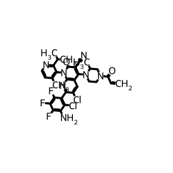 C=CC(=O)N1CCN(c2c(C#N)c(=O)n(-c3c(C)ccnc3C(C)C)c3nc(-c4c(F)c(F)c(F)c(N)c4Cl)c(Cl)cc23)C(C)C1